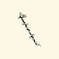 CCOCCOCC(=O)NCCOCCOCC(=O)NCCCC[C@H](NC)C(N)=O